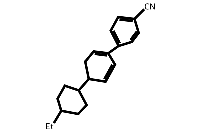 CCC1CCC(C2C=CC(c3ccc(C#N)cc3)=CC2)CC1